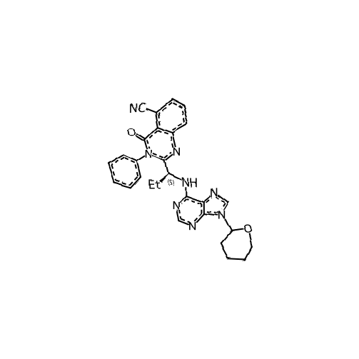 CC[C@H](Nc1ncnc2c1ncn2C1CCCCO1)c1nc2cccc(C#N)c2c(=O)n1-c1ccccc1